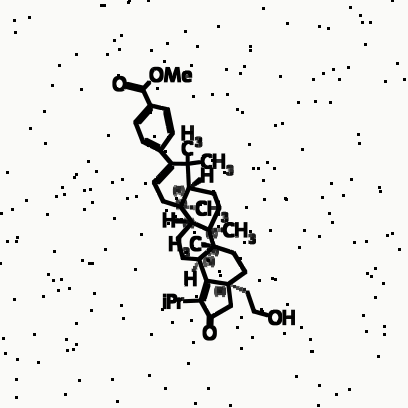 COC(=O)c1ccc(C2=CC[C@]3(C)[C@H]4CC[C@@H]5C6=C(C(C)C)C(=O)C[C@]6(CCO)CC[C@@]5(C)[C@]4(C)CC[C@H]3C2(C)C)cc1